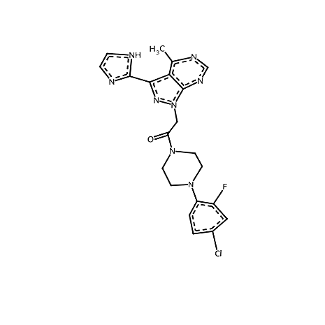 Cc1ncnc2c1c(-c1ncc[nH]1)nn2CC(=O)N1CCN(c2ccc(Cl)cc2F)CC1